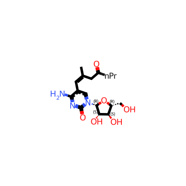 CCCC(=O)CC(C)=Cc1cn([C@@H]2O[C@H](CO)[C@@H](O)[C@@H]2O)c(=O)nc1N